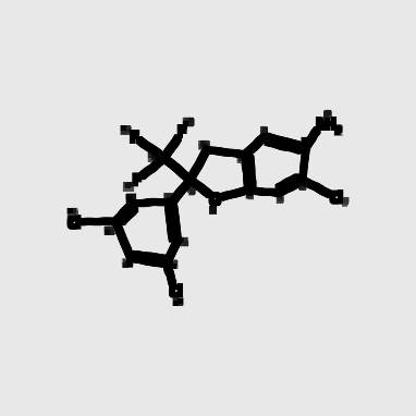 Nc1cc2c(cc1Cl)OC(c1cc(Cl)cc(Cl)c1)(C(F)(F)F)C2